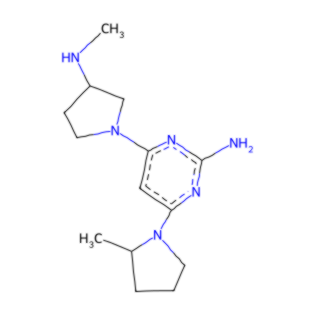 CNC1CCN(c2cc(N3CCCC3C)nc(N)n2)C1